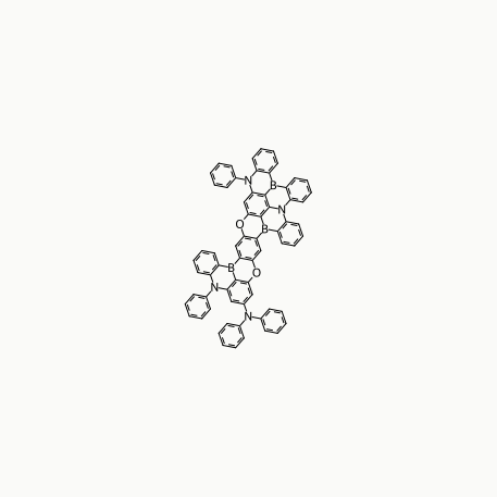 c1ccc(N(c2ccccc2)c2cc3c4c(c2)N(c2ccccc2)c2ccccc2B4c2cc4c(cc2O3)B2c3ccccc3N3c5ccccc5B5c6ccccc6N(c6ccccc6)c6cc(c2c3c65)O4)cc1